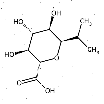 CC(C)[C@H]1O[C@H](C(=O)O)[C@@H](O)[C@H](O)[C@H]1O